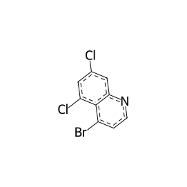 Clc1cc(Cl)c2c(Br)ccnc2c1